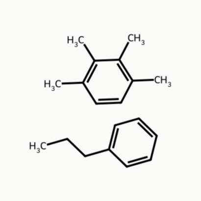 CCCc1ccccc1.Cc1ccc(C)c(C)c1C